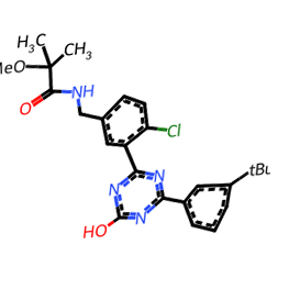 COC(C)(C)C(=O)NCc1ccc(Cl)c(-c2nc(O)nc(-c3cccc(C(C)(C)C)c3)n2)c1